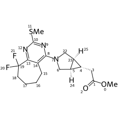 COC(=O)C[C@@H]1[C@H]2CN(c3nc(SC)nc4c3CCCCC4(F)F)C[C@@H]12